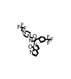 O=c1c2ncccc2ccn1-c1nc(N2CCN(CC(F)(F)F)CC2)oc1-c1ccc(C(F)(F)F)cc1